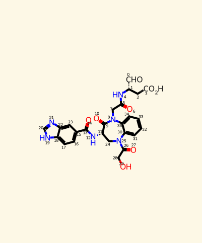 O=C[C@H](CC(=O)O)NC(=O)CN1C(=O)[C@@H](NC(=O)c2ccc3[nH]cnc3c2)CN(C(=O)CO)c2ccccc21